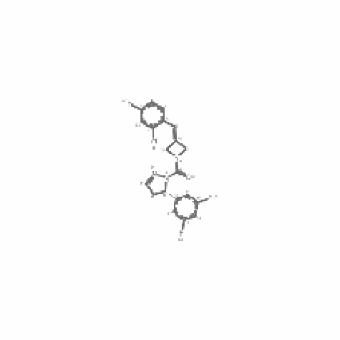 O=C(N1CC(=Cc2ccc(F)cc2Cl)C1)N1N=CC[C@H]1c1cc(F)cc(F)c1